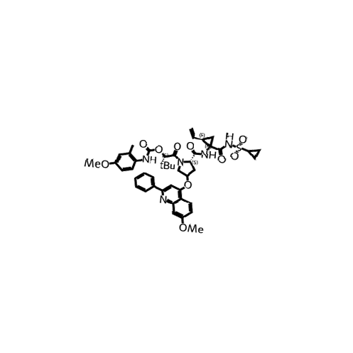 C=C[C@H]1C[C@]1(NC(=O)[C@@H]1CC(Oc2cc(-c3ccccc3)nc3cc(OC)ccc23)CN1C(=O)[C@@H](OC(=O)Nc1ccc(OC)cc1C)C(C)(C)C)C(=O)NS(=O)(=O)C1CC1